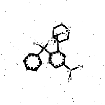 O=C(O)C(O)(c1ccccc1)c1ccc(B(O)O)cc1C1CN2CCC1CC2